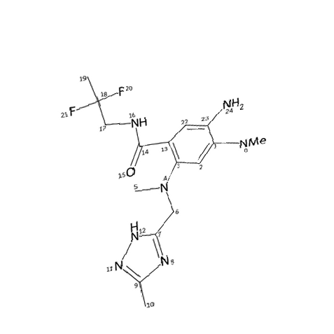 CNc1cc(N(C)Cc2nc(C)n[nH]2)c(C(=O)NCC(C)(F)F)cc1N